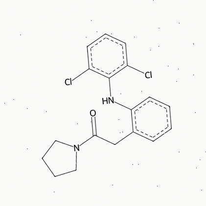 O=C(Cc1ccccc1Nc1c(Cl)cccc1Cl)N1CCCC1